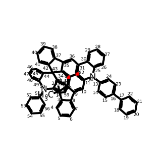 CC1(C)c2ccccc2-c2cc(N(c3ccc(-c4ccccc4)cc3)c3ccccc3-c3ccc4c(c3)-c3ccccc3C43c4ccccc4N(c4ccccc4)c4ccccc43)ccc21